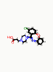 O=C(O)CCN1CCN(C2=Nc3ccccc3Oc3ccc(Cl)cc32)CC1